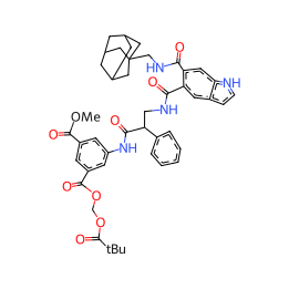 COC(=O)c1cc(NC(=O)C(CNC(=O)c2cc3cc[nH]c3cc2C(=O)NCC23CC4CC(CC(C4)C2)C3)c2ccccc2)cc(C(=O)OCOC(=O)C(C)(C)C)c1